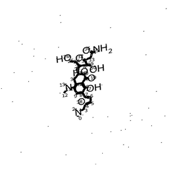 CN(C)Cc1ccc(-c2cc(N(C)C)c3c(c2O)C(=O)CC(CC(CCO)[C@](O)(CO)C(=O)CC(N)=O)C3)o1